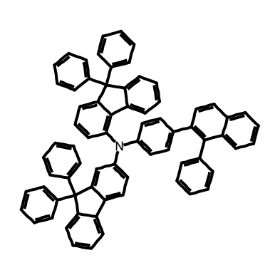 c1ccc(-c2c(-c3ccc(N(c4ccc5c(c4)C(c4ccccc4)(c4ccccc4)c4ccccc4-5)c4cccc5c4-c4ccccc4C5(c4ccccc4)c4ccccc4)cc3)ccc3ccccc23)cc1